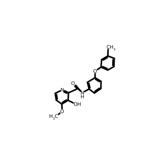 COc1ccnc(C(=O)Nc2cccc(Oc3cccc(C)c3)c2)c1O